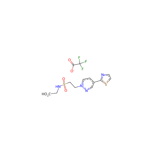 O=C(O)CNS(=O)(=O)CC[n+]1ccc(-c2nccs2)cn1.O=C([O-])C(F)(F)F